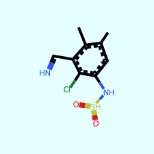 Cc1cc(N[SH](=O)=O)c(Cl)c(C=N)c1C